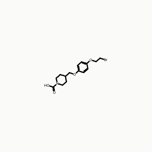 O=C(O)N1CCC(COc2ccc(OCCBr)cc2)CC1